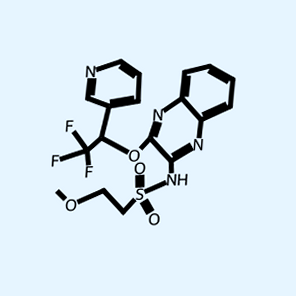 COCCS(=O)(=O)Nc1nc2ccccc2nc1OC(c1cccnc1)C(F)(F)F